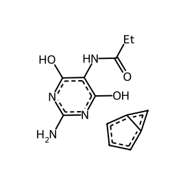 CCC(=O)Nc1c(O)nc(N)nc1O.c1cc2cc-2c1